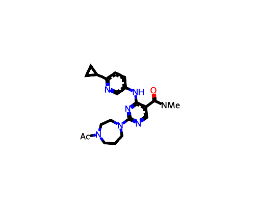 CNC(=O)c1cnc(N2CCCN(C(C)=O)CC2)nc1Nc1ccc(C2CC2)nc1